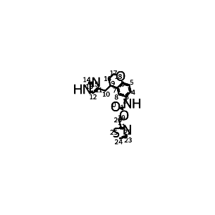 O=C(Nc1ccc2c(c1)C(Cc1c[nH]cn1)CCO2)OCc1nccs1